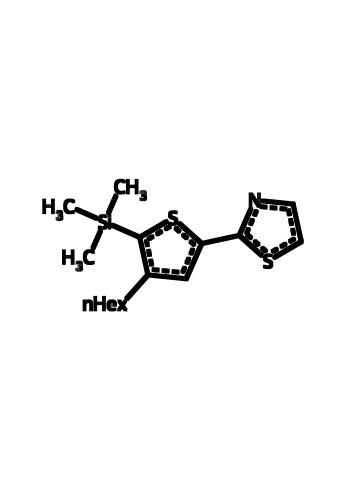 CCCCCCc1cc(-c2nccs2)sc1[Si](C)(C)C